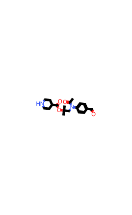 CC(=O)N(CC(C)(C)OC(=O)C1CCNCC1)c1ccc(C=O)cc1